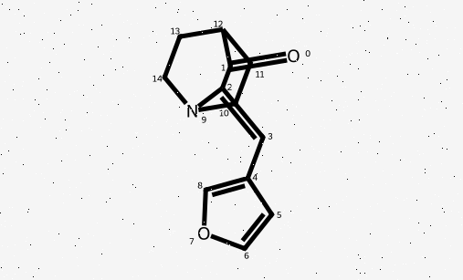 O=C1C(=Cc2ccoc2)N2CCC1CC2